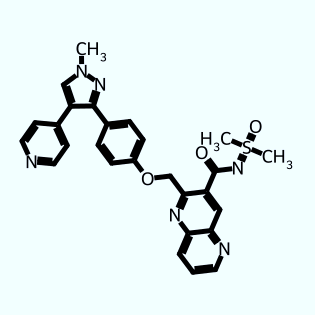 Cn1cc(-c2ccncc2)c(-c2ccc(OCc3nc4cccnc4cc3C(=O)N=S(C)(C)=O)cc2)n1